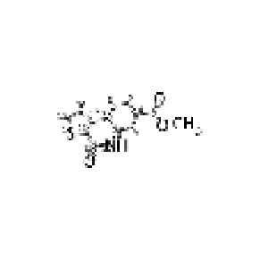 COC(=O)c1ccc2c(c1)[nH]c(=O)c1sccc12